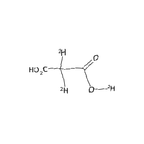 [2H]OC(=O)C([2H])([2H])C(=O)O